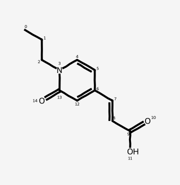 CCCn1ccc(C=CC(=O)O)cc1=O